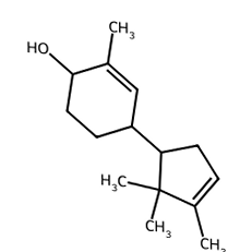 CC1=CC(C2CC=C(C)C2(C)C)CCC1O